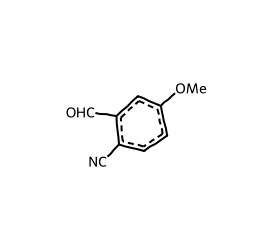 COc1ccc(C#N)c(C=O)c1